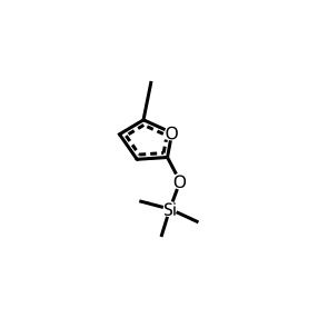 Cc1ccc(O[Si](C)(C)C)o1